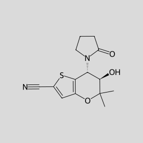 CC1(C)Oc2cc(C#N)sc2[C@H](N2CCCC2=O)[C@H]1O